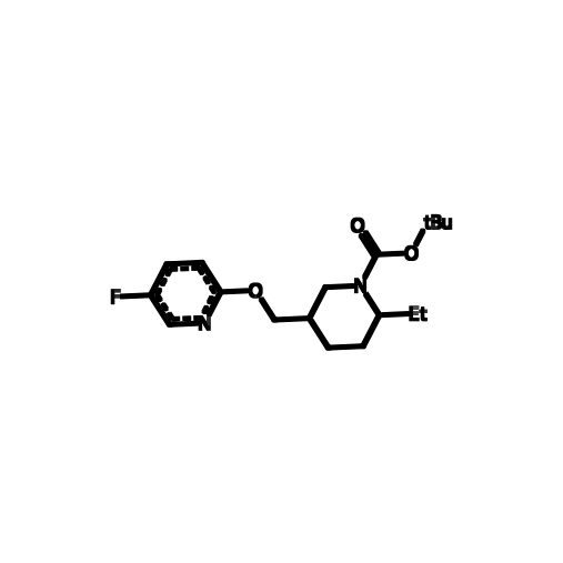 CCC1CCC(COc2ccc(F)cn2)CN1C(=O)OC(C)(C)C